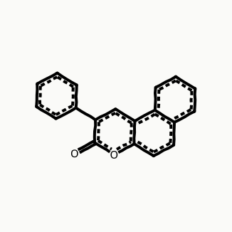 O=c1oc2ccc3ccccc3c2cc1-c1ccccc1